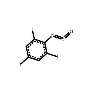 O=S=Nc1c(I)cc(I)cc1I